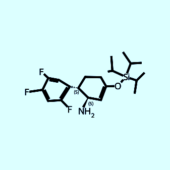 CC(C)[Si](OC1=C[C@@H](N)[C@H](c2cc(F)c(F)cc2F)CC1)(C(C)C)C(C)C